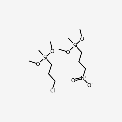 CO[Si](C)(CCCCl)OC.CO[Si](C)(CCC[N+](=O)[O-])OC